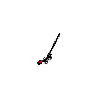 CCCCCCCCCCCCCCCCCCOCC(COP(=O)([O-])OCC1CC2CCC(C1)[N+]2(C)C)OC(C)=O